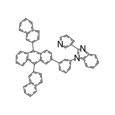 c1cncc(-c2nc3ccccc3n2-c2cccc(-c3ccc4c(-c5ccc6ccccc6c5)c5ccccc5c(-c5ccc6ccccc6c5)c4c3)c2)c1